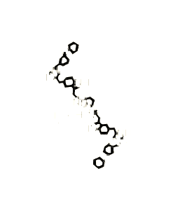 NC(Cc1c[nH]c2ccc(CC3NC(=O)N(Cc4cccc(Oc5ccccc5)c4)C3=O)cc12)OC(=O)/C=C\C(=O)OC(N)Cc1c[nH]c2ccc(CC3NC(=O)N(Cc4cccc(Oc5ccccc5)c4)C3=O)cc12.O